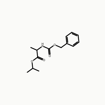 [CH2]C(C)OC(=O)C(C)NC(=O)OCc1ccccc1